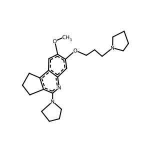 COc1cc2c3c(c(N4CCCC4)nc2cc1OCCCN1CCCC1)CCC3